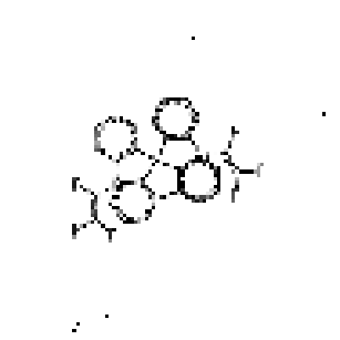 FC(F)=C(F)Oc1ccccc1C1(c2ccccc2OC(F)=C(F)F)c2ccccc2-c2ccccc21